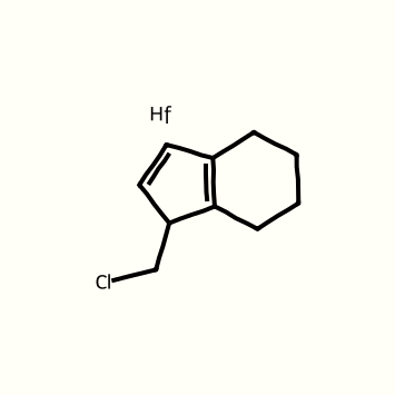 ClCC1C=CC2=C1CCCC2.[Hf]